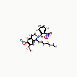 CCCCCCCC1c2cc(OC)c(OC)cc2CCN1Cc1ccccc1[N+](=O)[O-]